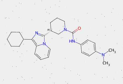 CN(C)c1ccc(NC(=O)N2CCC[C@@H](c3nc(C4CCCCC4)c4ccccn34)C2)cc1